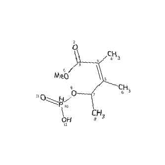 COC(=O)C(C)=C(C)C(C)O[PH](=O)O